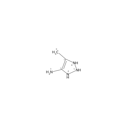 CC1=C(N)NNN1